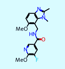 COc1ccc2nc(C)n(C)c2c1CNC(=O)c1cnc(OC)c(F)c1